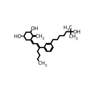 C=C1/C(=C\C=C(/CCCC)c2cccc(CCCCCC(C)(C)O)c2)C[C@@H](O)CC1O